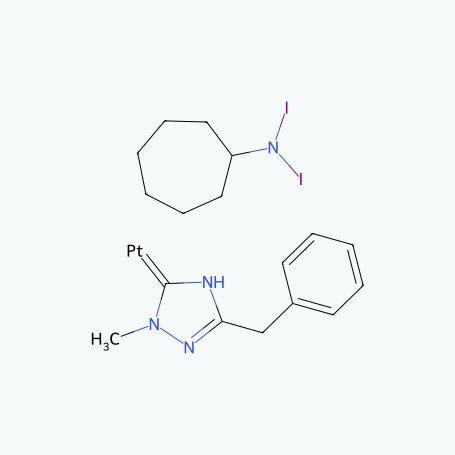 Cn1nc(Cc2ccccc2)[nH][c]1=[Pt].IN(I)C1CCCCCC1